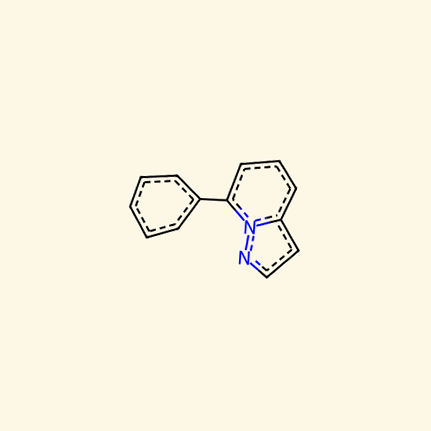 c1ccc(-c2cccc3ccnn23)cc1